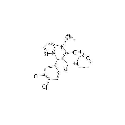 CC1=C(C(=O)N2CCCCC2)C(c2ccc(Cl)c(Cl)c2)n2nccc2N1C